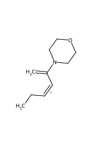 C=C(/C=C\CC)N1CCOCC1